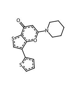 O=c1cc(N2CCCCC2)oc2c(-c3cccs3)csc12